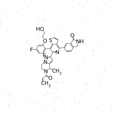 C=CC(=O)N1CCn2nc(-c3nc(-c4ccc5c(c4)C(=O)NC5)c4ccsc4c3-c3c(F)cc(F)cc3OCCO)cc2C1C